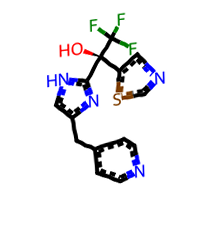 O[C@](c1nc(Cc2ccncc2)c[nH]1)(c1cncs1)C(F)(F)F